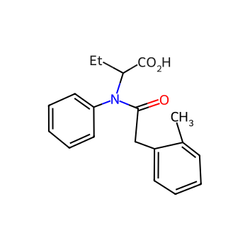 CCC(C(=O)O)N(C(=O)Cc1ccccc1C)c1ccccc1